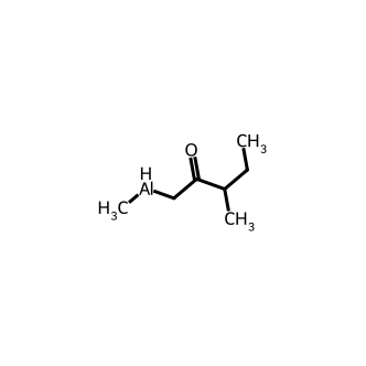 CCC(C)C(=O)[CH2][AlH][CH3]